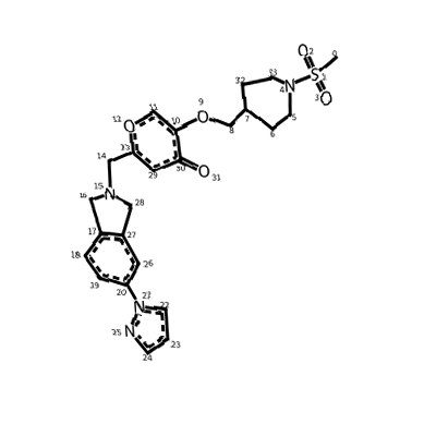 CS(=O)(=O)N1CCC(COc2coc(CN3Cc4ccc(-n5cccn5)cc4C3)cc2=O)CC1